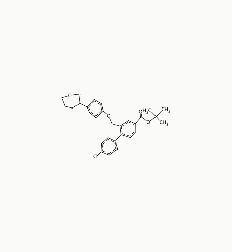 CC(C)(C)OC(=O)c1ccc(-c2ccc(Cl)cc2)c(COc2ccc(C3[CH]CCCC3)cc2)c1